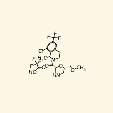 COC[C@@H]1CNC[C@H](C(=O)N2CCc3cc(C(F)(F)F)cc(Cl)c3[C@@H]2C)O1.O=C(O)C(F)(F)F